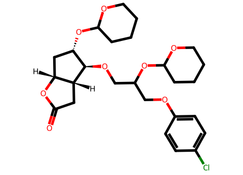 O=C1C[C@H]2[C@H](OCC(COc3ccc(Cl)cc3)OC3CCCCO3)[C@@H](OC3CCCCO3)C[C@H]2O1